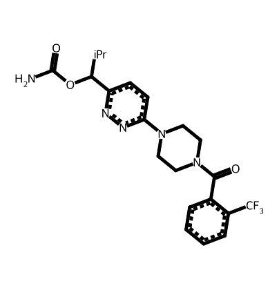 CC(C)C(OC(N)=O)c1ccc(N2CCN(C(=O)c3ccccc3C(F)(F)F)CC2)nn1